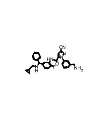 N#Cc1cc(C(=O)Nc2cc(C(NCC3CC3)c3ccccc3)ccc2F)n(-c2cccc(CN)c2)n1